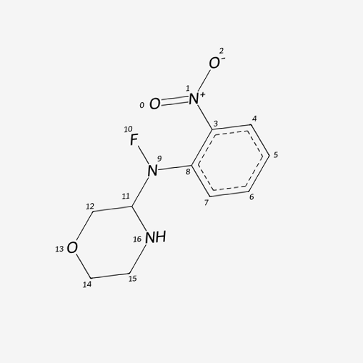 O=[N+]([O-])c1ccccc1N(F)C1COCCN1